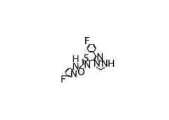 O=C(Nc1ccc(F)cn1)c1csc(-c2c(-c3ccc(F)cc3)nc3n2CCCN3)n1